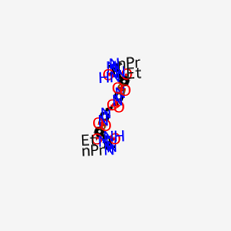 CCCc1nn(C)c2c(=O)[nH]c(-c3cc(S(=O)(=O)N4CCN(CCOC(=O)N5CCN(S(=O)(=O)c6ccc(OCC)c(-c7nc8c(CCC)nn(C)c8c(=O)[nH]7)c6)CC5)CC4)ccc3OCC)nc12